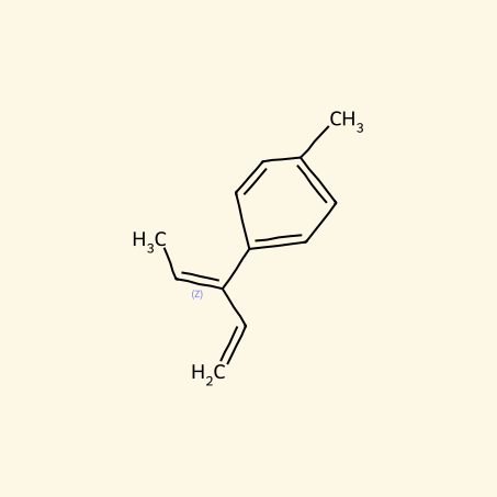 C=C/C(=C/C)c1ccc(C)cc1